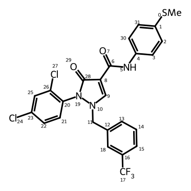 CSc1ccc(NC(=O)c2cn(Cc3cccc(C(F)(F)F)c3)n(-c3ccc(Cl)cc3Cl)c2=O)cc1